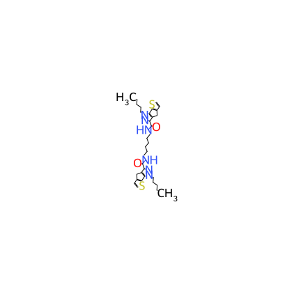 CCCCCn1nc(C(=O)NCCCCCCNC(=O)c2nn(CCCCC)c3c2Cc2ccsc2-3)c2c1-c1sccc1C2